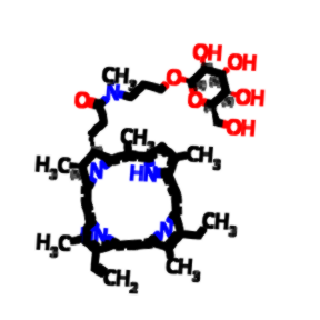 C=Cc1c(C)c2cc3nc(c(C)c4cc(C)c(cc5nc(cc1[nH]2)C(C)=C5CC)[nH]4)[C@@H](CCC(=O)N(C)CCCO[C@@H]1O[C@H](CO)[C@@H](O)[C@H](O)[C@H]1O)[C@@H]3C